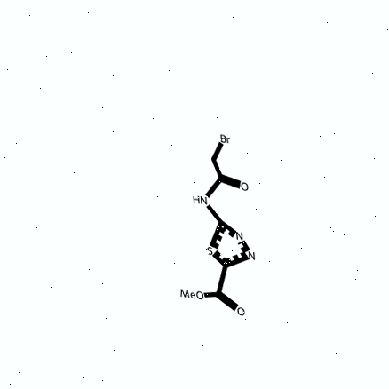 COC(=O)c1nnc(NC(=O)CBr)s1